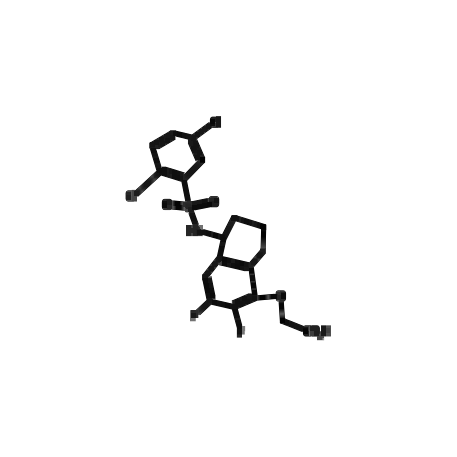 O=C(O)COc1c(F)c(F)cc2c1CCCC2NS(=O)(=O)c1cc(Cl)ccc1Cl